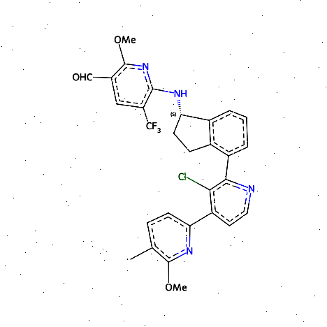 [CH2]c1ccc(-c2ccnc(-c3cccc4c3CC[C@@H]4Nc3nc(OC)c(C=O)cc3C(F)(F)F)c2Cl)nc1OC